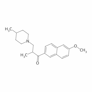 COc1ccc2cc(C(=O)C(C)CN3CCC(C)CC3)ccc2c1